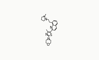 Cc1nc(N2CCOCC2)sc1-c1ccc2cccc(CCN3CCC[C@H]3C)c2n1